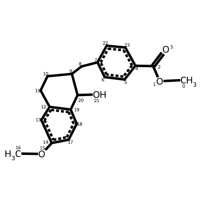 COC(=O)c1ccc(CC2CCc3cc(OC)ccc3C2O)cc1